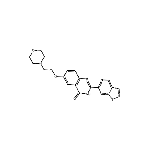 O=c1[nH]c(-c2cc3sccc3cn2)nc2ccc(OCCN3CCOCC3)cc12